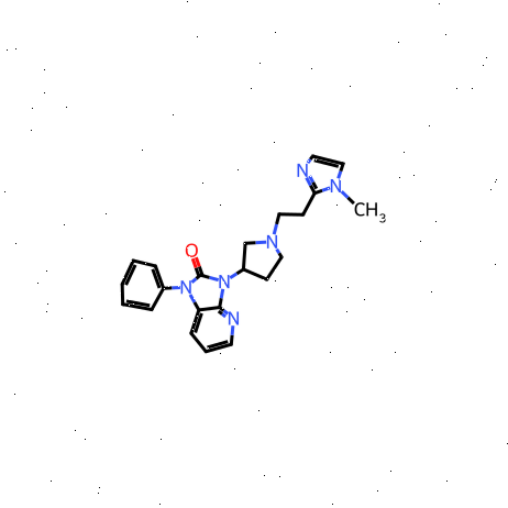 Cn1ccnc1CCN1CCC(n2c(=O)n(-c3ccccc3)c3cccnc32)C1